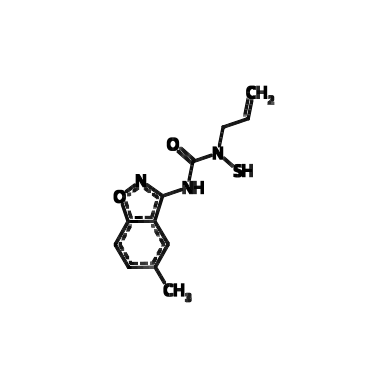 C=CCN(S)C(=O)Nc1noc2ccc(C)cc12